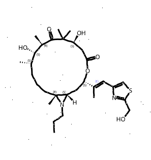 CCCN1[C@H]2C[C@@H](/C(C)=C/c3csc(CO)n3)OC(=O)C[C@H](O)C(C)(C)C(=O)[C@H](C)[C@@H](O)[C@@H](C)CCC[C@]21C